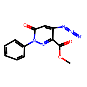 COC(=O)c1nn(-c2ccccc2)c(=O)cc1N=[N+]=[N-]